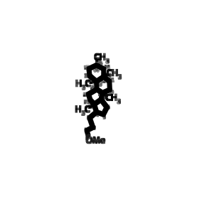 COCCCC1CCC2[C@]3(C)CC[C@]4(C)C[C@@H](C)CC[C@]4(C)C3CC[C@]12C